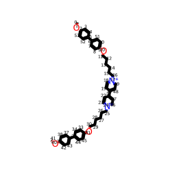 COc1ccc(-c2ccc(OCCCCCC[n+]3ccc(-c4cc[n+](CCCCCCOc5ccc(-c6ccc(OC)cc6)cc5)cc4)cc3)cc2)cc1